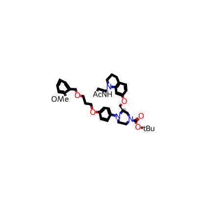 COc1ccccc1COCCCOc1ccc(N2CCN(C(=O)OC(C)(C)C)C[C@@H]2COc2ccc3c(c2)N(CCNC(C)=O)CCC3)cc1